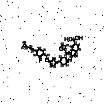 OC(O)c1ccc2nc(CN3CC=C(c4csc(OCc5ccc(C#CC6CC6)cc5F)n4)CC3)n(C[C@@H]3CCO3)c2c1